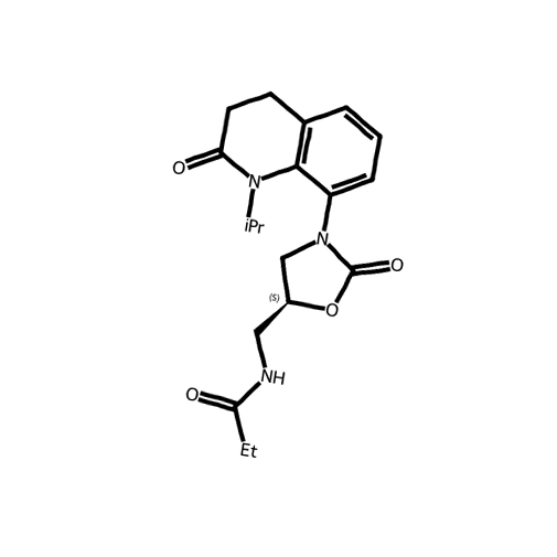 CCC(=O)NC[C@H]1CN(c2cccc3c2N(C(C)C)C(=O)CC3)C(=O)O1